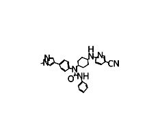 Cn1cc(-c2ccc(N(C(=O)Nc3ccccc3)C3CCC(Nc4ccc(C#N)cn4)CC3)cc2)cn1